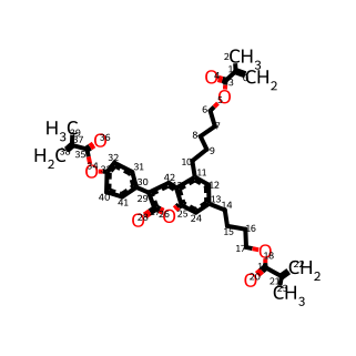 C=C(C)C(=O)OCCCCCc1cc(CCCCOC(=O)C(=C)C)cc2oc(=O)c(-c3ccc(OC(=O)C(=C)C)cc3)cc12